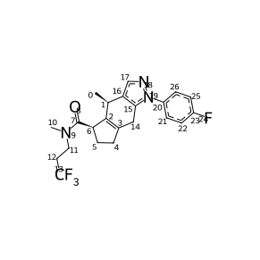 C[C@@H]1C2=C(CC[C@H]2C(=O)N(C)CCC(F)(F)F)Cc2c1cnn2-c1ccc(F)cc1